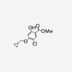 COC(=O)c1cc(Cl)c(OCC2CC2)cc1O